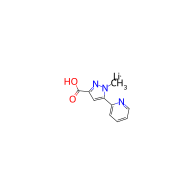 Cn1nc(C(=O)O)cc1-c1ccccn1.[Li]